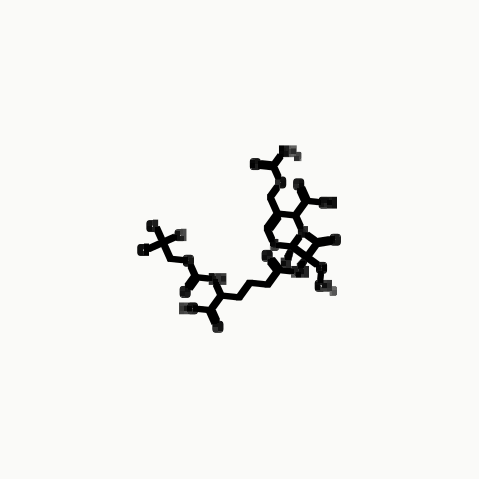 CO[C@@]1(NC(=O)CCCC(NC(=O)OCC(Cl)(Cl)Cl)C(=O)O)C(=O)N2C(C(=O)O)C(COC(N)=O)=CS[C@H]21